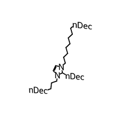 CCCCCCCCCCCCCCCCCCN1C=CN(CCCCCCCCCCCCC)C1CCCCCCCCCC